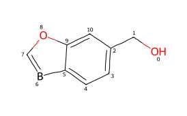 OCc1ccc2bcoc2c1